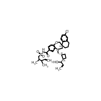 C=CC(C)C(C)CS(=O)(=O)NC(=O)c1ccc2c(c1)N(C[C@@H]1CC[C@H]1C(O)C=C)C[C@@]1(CCCc3cc(Cl)ccc31)CO2